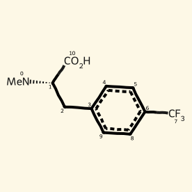 CN[C@@H](Cc1ccc(C(F)(F)F)cc1)C(=O)O